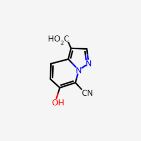 N#Cc1c(O)ccc2c(C(=O)O)cnn12